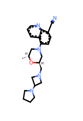 C[C@@H]1CN(c2ccc(C#N)c3ncccc23)C[C@@H](CN2CC(N3CCCC3)C2)O1